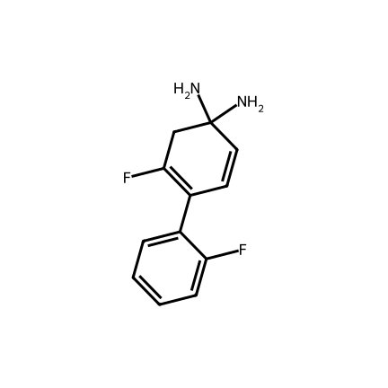 NC1(N)C=CC(c2ccccc2F)=C(F)C1